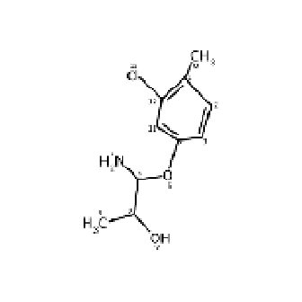 Cc1ccc(OC(N)C(C)O)cc1Cl